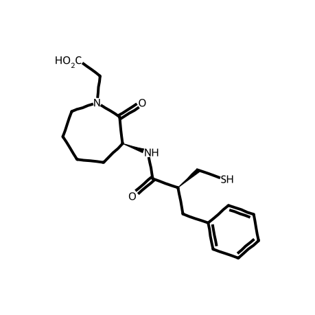 O=C(O)CN1CCCC[C@H](NC(=O)[C@@H](CS)Cc2ccccc2)C1=O